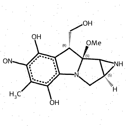 CO[C@@]12C3N[C@H]3CN1c1c(O)c(C)c(N=O)c(O)c1[C@@H]2CO